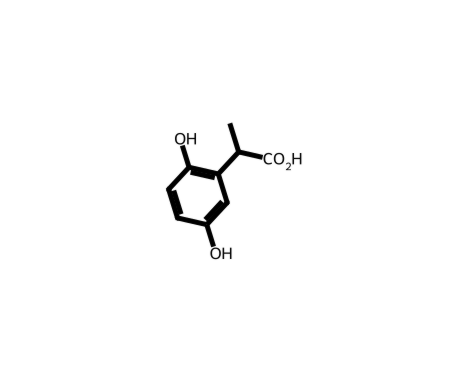 CC(C(=O)O)c1cc(O)ccc1O